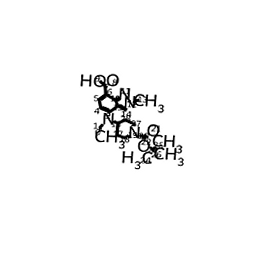 CCN(c1ccc(C(=O)O)c2nn(C)cc12)C1CCN(C(=O)OC(C)(C)C)CC1